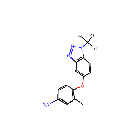 [2H]C([2H])([2H])n1nnc2cc(Oc3ccc(N)cc3C)ccc21